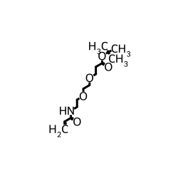 C=CC(=O)NCCOCCOCCC(=O)OC(C)(C)C